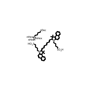 CC1(C)\C(=C/C=C/C=C/C=C/C2N(CCCCS(=O)(=O)O)c3ccc4ccccc4c3C2(C)C)N(CCCCS(=O)(=O)O)c2ccc3ccccc3c21.CCCCCCCCCCCCCC[PH](CCCCCC)(CCCCCC)CCCCCC